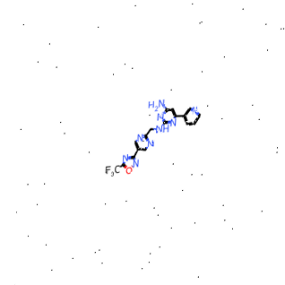 Nc1cc(-c2cccnc2)nc(NCc2ncc(-c3noc(C(F)(F)F)n3)cn2)n1